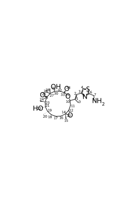 C/C(=C\c1csc(CN)n1)C1CC2O[C@]2(C)CCC[C@H](C)[C@H](O)[C@@H](C)C(=O)C(C)(C)[C@@H](O)CC(=O)O1